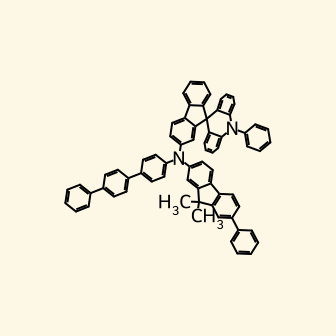 CC1(C)c2cc(-c3ccccc3)ccc2-c2ccc(N(c3ccc(-c4ccc(-c5ccccc5)cc4)cc3)c3ccc4c(c3)C3(c5ccccc5-4)c4ccccc4N(c4ccccc4)c4ccccc43)cc21